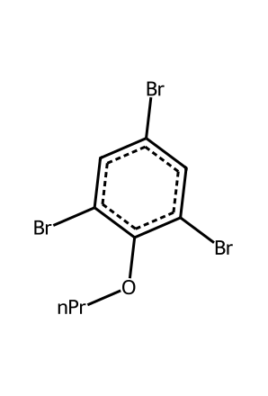 [CH2]CCOc1c(Br)cc(Br)cc1Br